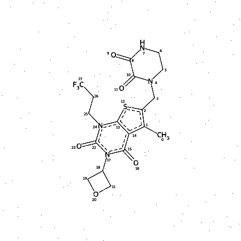 Cc1c(CN2CCNC(=O)C2=O)sc2c1c(=O)n(C1COC1)c(=O)n2CCC(F)(F)F